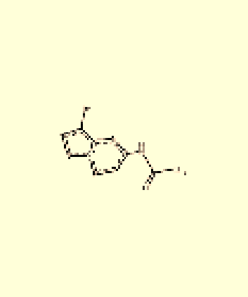 CC(=O)Nc1ccn2ncc(Br)c2n1